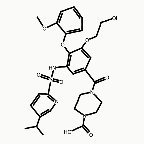 COc1ccccc1Oc1c(NS(=O)(=O)c2ccc(C(C)C)cn2)cc(C(=O)N2CCN(C(=O)O)CC2)cc1OCCO